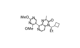 CC[C@H](C1CCC1)n1c(=O)c(C)nc2c(-c3cnc(OC)nc3OC)nccc21